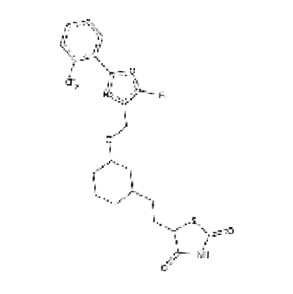 CCc1oc(-c2ccccc2C(F)(F)F)nc1COC1CCCC(CCC2SC(=O)NC2=O)C1